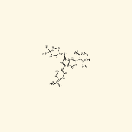 CC(=N)/C(=C(/C)O)c1cnc2c(-c3ccc(C(=O)O)cc3)cn(CC3CCC(F)(F)CC3)c2c1